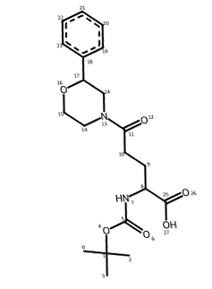 CC(C)(C)OC(=O)NC(CCC(=O)N1CCOC(c2ccccc2)C1)C(=O)O